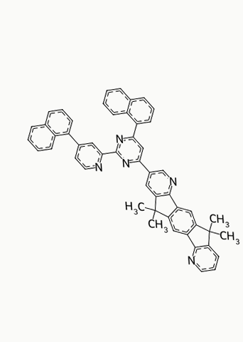 CC1(C)c2cc3c(cc2-c2ncccc21)C(C)(C)c1cc(-c2cc(-c4cccc5ccccc45)nc(-c4cc(-c5cccc6ccccc56)ccn4)n2)cnc1-3